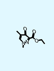 CCOC(=O)c1nn(C)cc(C)c1=O